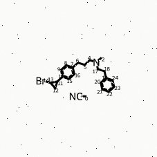 CC#N.CN(CCCc1ccc(C2CC2Br)cc1)CCc1ccccc1